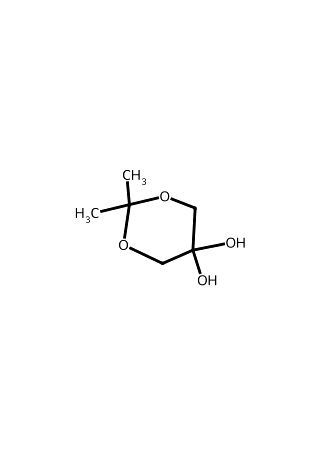 CC1(C)OCC(O)(O)CO1